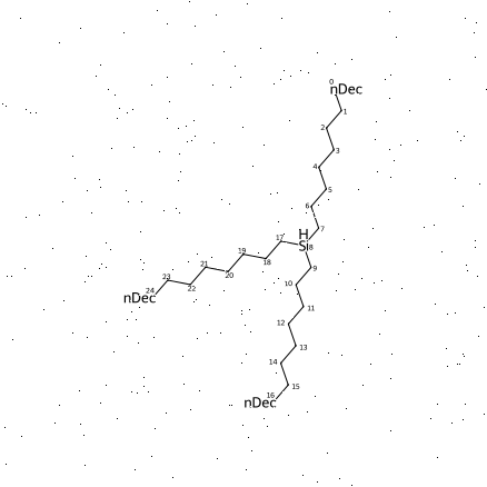 CCCCCCCCCCCCCCCCC[SiH](CCCCCCCCCCCCCCCCC)CCCCCCCCCCCCCCCCC